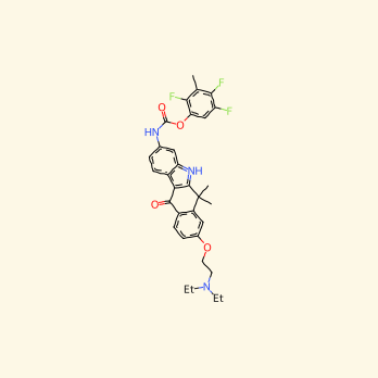 CCN(CC)CCOc1ccc2c(c1)C(C)(C)c1[nH]c3cc(NC(=O)Oc4cc(F)c(F)c(C)c4F)ccc3c1C2=O